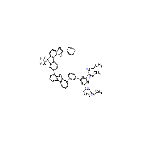 C=C/C=C\C(=C/C)c1nc(/C(C=C)=C/C=C\C)nc(-c2cccc(-c3cccc4c3oc3c(-c5ccc6c(c5)C(C)(C)c5ccc7nc(C8=CCCC=C8)oc7c5-6)cccc34)c2)n1